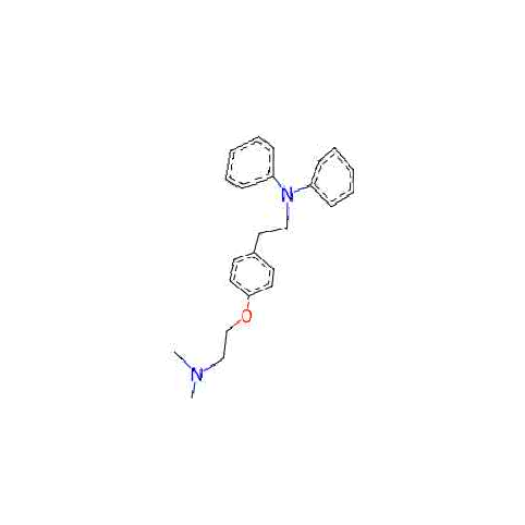 CN(C)CCOc1ccc(CCN(c2ccccc2)c2ccccc2)cc1